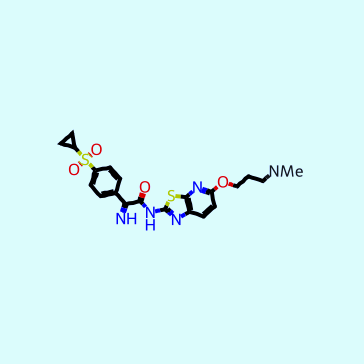 CNCCCOc1ccc2nc(NC(=O)C(=N)c3ccc(S(=O)(=O)C4CC4)cc3)sc2n1